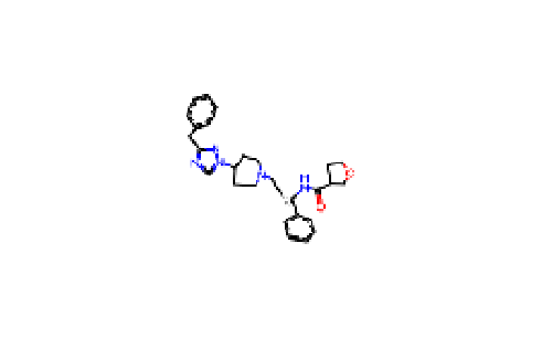 O=C(N[C@@H](CCN1CCC(n2cnc(Cc3ccccc3)n2)CC1)c1ccccc1)C1CCOC1